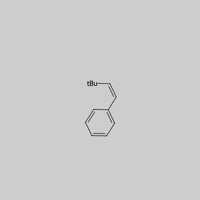 CC(C)(C)/C=C\c1ccccc1